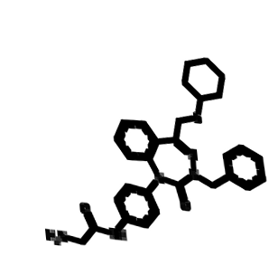 NCC(=O)Nc1ccc(N2C(=O)N(Cc3ccccc3)N=C(CSC3CCCCC3)c3ccccc32)cc1